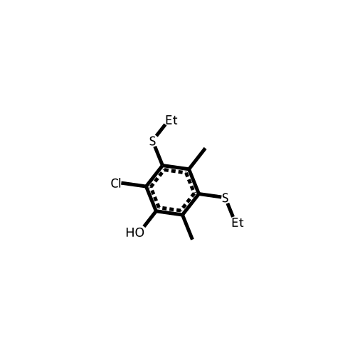 CCSc1c(C)c(O)c(Cl)c(SCC)c1C